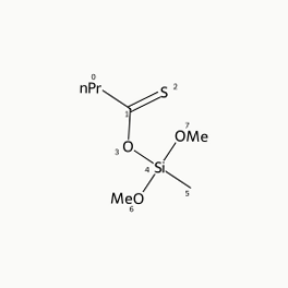 CCCC(=S)O[Si](C)(OC)OC